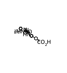 CC(C)c1ccccc1Nc1nnc(C(=O)Nc2ccc(C3CCC(CC(=O)O)CC3)cc2)o1